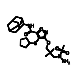 CC(C)(COc1noc(C(=O)NC2C3CC4CC(C3)CC2C4)c1SC1CCCC1)CN(N)S(C)(=O)=O